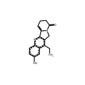 CCc1c2c(nc3ccc(O)cc13)C1=CCCC(=O)N1C2